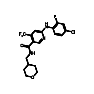 O=C(NCC1CCOCC1)c1cnc(Nc2ccc(Cl)cc2F)cc1C(F)(F)F